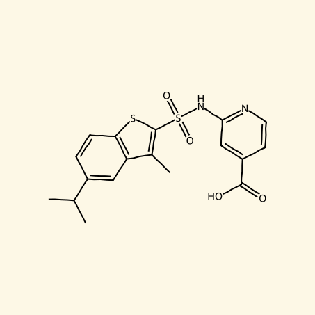 Cc1c(S(=O)(=O)Nc2cc(C(=O)O)ccn2)sc2ccc(C(C)C)cc12